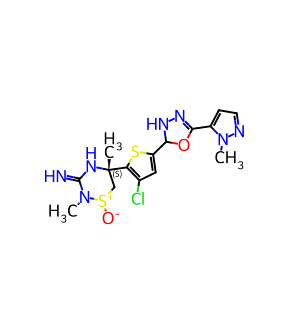 CN1C(=N)N[C@](C)(c2sc(C3NN=C(c4ccnn4C)O3)cc2Cl)C[S+]1[O-]